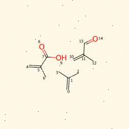 C=C(C)C.C=C(C)C(=O)O.C=C(C)C=O